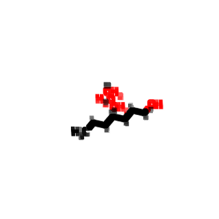 CCCCCCCO.O.O.O